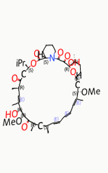 CO[C@H]1C[C@@H]2CC[C@@H](C)[C@@](O)(O2)C(=O)C(=O)N2CCCC[C@H]2C(=O)O[C@H](C(C)C)CC(=O)[C@H](C)/C=C(\C)[C@@H](O)[C@@H](OC)C(=O)[C@H](C)C[C@H](C)/C=C/C=C/C=C/1C